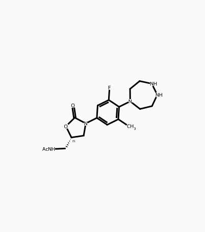 CC(=O)NC[C@H]1CN(c2cc(C)c(N3CCNNCC3)c(F)c2)C(=O)O1